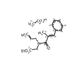 C=CCN(CC(=O)OCC)C(=O)/C(C)=C/c1ccccc1.CC(=O)O